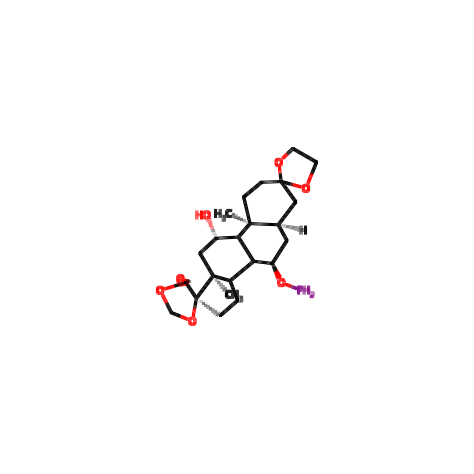 C[C@]12C[C@H](O)C3C(C1CC[C@@]21OCOC12COCO2)[C@H](OP)C[C@@H]1CC2(CC[C@]31C)OCCO2